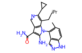 Cc1ccc2[nH]ncc2c1-n1c(N)c(C(N)=O)c2cnc(C3CC3)c(CC(C)C)c21